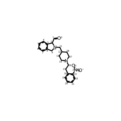 O=CC1c2ccccc2CN1CC1CCN(CCc2ccccc2[N+](=O)[O-])CC1